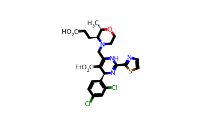 CCOC(=O)C1=C(CN2CCO[C@@H](C)[C@@H]2CCC(=O)O)NC(c2nccs2)=N[C@H]1c1ccc(Cl)cc1Cl